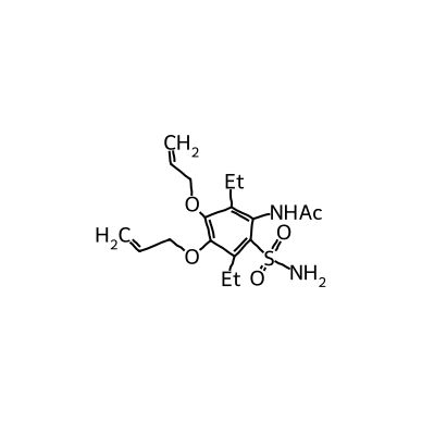 C=CCOc1c(CC)c(NC(C)=O)c(S(N)(=O)=O)c(CC)c1OCC=C